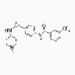 CN1CCC(NC2CC2c2ccc(N(C)C(=O)c3cccc(C(F)(F)F)c3)cc2)CC1